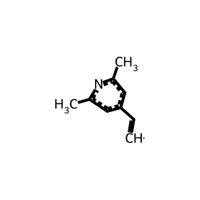 [CH]=Cc1cc(C)nc(C)c1